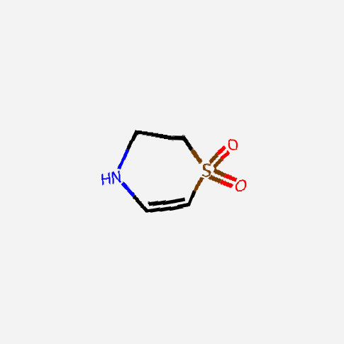 O=S1(=O)C=CNCC1